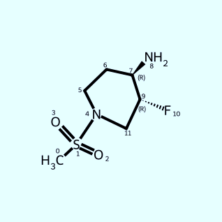 CS(=O)(=O)N1CC[C@@H](N)[C@H](F)C1